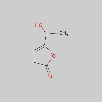 CC(O)C1=CCC(=O)O1